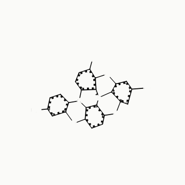 Cc1ccc2c(c1)Oc1ccc3c4c1N2c1ccc(C)c2c1P4(=O)c1c(cc(C)cc1O2)O3